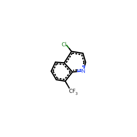 FC(F)(F)c1cccc2c(Cl)ccnc12